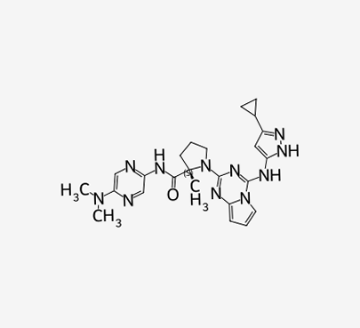 CN(C)c1cnc(NC(=O)[C@]2(C)CCCN2c2nc(Nc3cc(C4CC4)n[nH]3)n3cccc3n2)cn1